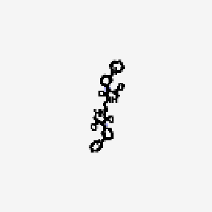 CC(=O)/C(C(=O)NCCNC(=O)/C(C(C)=O)=C1/C=C(N2CCCCC2)CCC1)=C1\C=C(N2CCCCC2)CCC1